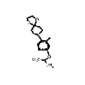 CC(C)Oc1ccc(N2CCC3(CC2)OCCO3)c(F)c1